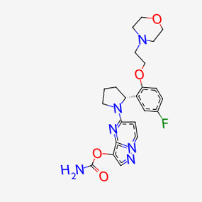 NC(=O)Oc1cnn2ccc(N3CCC[C@@H]3c3cc(F)ccc3OCCN3CCOCC3)nc12